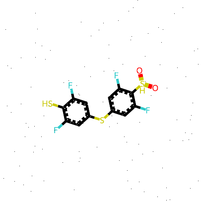 O=[SH](=O)c1c(F)cc(Sc2cc(F)c(S)c(F)c2)cc1F